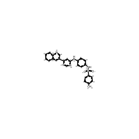 Cc1ccc(S(=O)(=O)Nc2ccc(Nc3cc(-c4cnc5ccccc5c4)ncn3)cc2)cc1